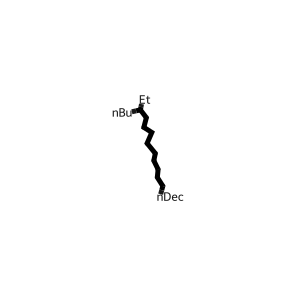 [CH2]CC(CCCC)CCCCCCCCCCCCCCCCCCC